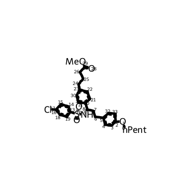 CCCCCOc1ccc(CCC(NS(=O)(=O)c2ccc(Cl)cc2)c2ccc(CCCC(=O)OC)cc2)cc1